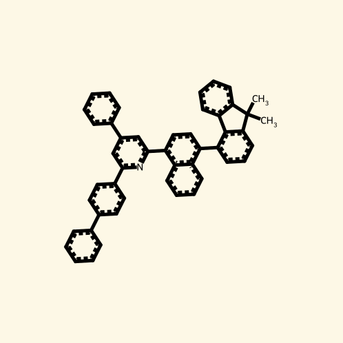 CC1(C)c2ccccc2-c2c(-c3ccc(-c4cc(-c5ccccc5)cc(-c5ccc(-c6ccccc6)cc5)n4)c4ccccc34)cccc21